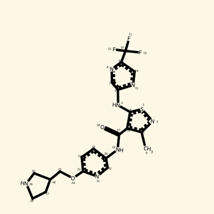 Cc1nsc(Nc2cnc(C(F)(F)F)cn2)c1C(=O)Nc1ccc(OCC2CCNC2)nc1